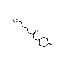 CCCCCC(=O)ON1CCC(=O)CC1